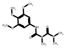 COc1cc(NC(=O)N(C)C(=O)N(C)C)cc(OC)c1OC